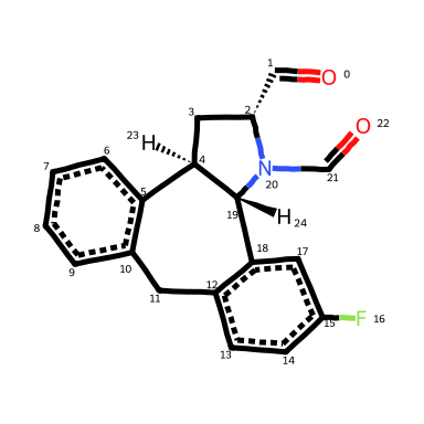 O=C[C@H]1C[C@@H]2c3ccccc3Cc3ccc(F)cc3[C@H]2N1C=O